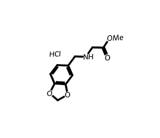 COC(=O)CNCc1ccc2c(c1)OCO2.Cl